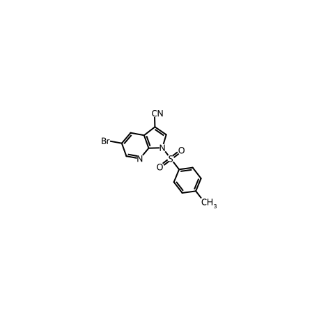 Cc1ccc(S(=O)(=O)n2cc(C#N)c3cc(Br)cnc32)cc1